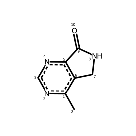 Cc1ncnc2c1CNC2=O